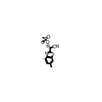 Cc1ccc2nc(/C(C#N)=N/OS(C)(=O)=O)sc2c1